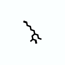 C=CCCCCC(CCC)CC(C)C=C